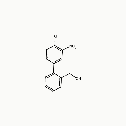 O=[N+]([O-])c1cc(-c2ccccc2CO)ccc1Cl